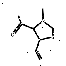 C=CC1SCN(C)C1C(C)=O